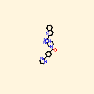 O=C(c1ccc(-c2ncccn2)cc1)N1CCn2c(nnc2-c2ccc3ccccc3n2)C1